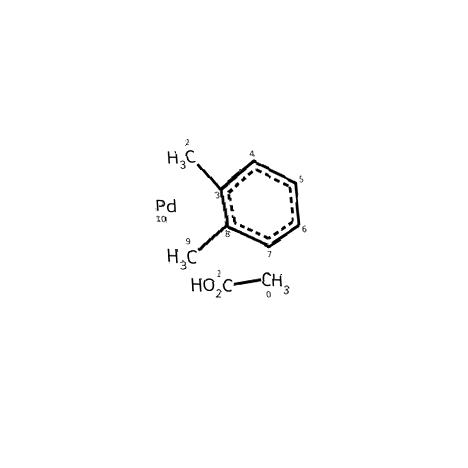 CC(=O)O.Cc1ccccc1C.[Pd]